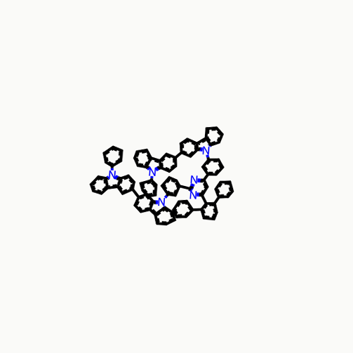 c1ccc(-c2cccc(-c3ccccc3)c2-c2cc(-c3cccc(-n4c5ccccc5c5ccc(-c6ccc7c(c6)c6ccccc6n7-c6ccccc6)cc54)c3)nc(-c3cccc(-n4c5ccccc5c5ccc(-c6ccc7c(c6)c6ccccc6n7-c6ccccc6)cc54)c3)n2)cc1